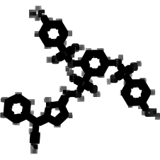 Cc1ccc(S(=O)(=O)Oc2ccc(OS(=O)(=O)c3ccc(C)cc3)c(S(=O)(=O)ON=C3C=CC(=C(C#N)c4ccccc4)S3)c2)cc1